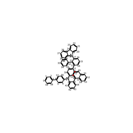 c1ccc(-c2ccc(N(c3ccc(-c4cccc(-n5c6ccccc6c6ccccc65)c4-c4ccccc4)cc3)c3ccccc3-c3cccc4ccccc34)cc2)cc1